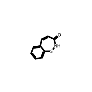 O=C1C=Cc2ccccc2SN1